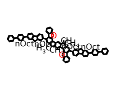 CCCCCCCCC1(CCCCCCCC)c2cc(-c3ccc(-c4ccccc4)cc3)ccc2-c2ccc(-c3cc4c(c5oc6ccccc6c35)-c3cc5c(cc3C4(C)C)-c3c(cc(-c4ccc6c(c4)C(CCCCCCCC)(CCCCCCCC)c4cc(-c7ccc(-c8ccccc8)cc7)ccc4-6)c4c3oc3ccccc34)C5(C)C)cc21